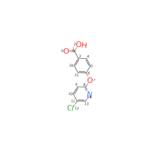 O=C(O)c1ccc(Oc2ccc(Cl)cn2)cc1